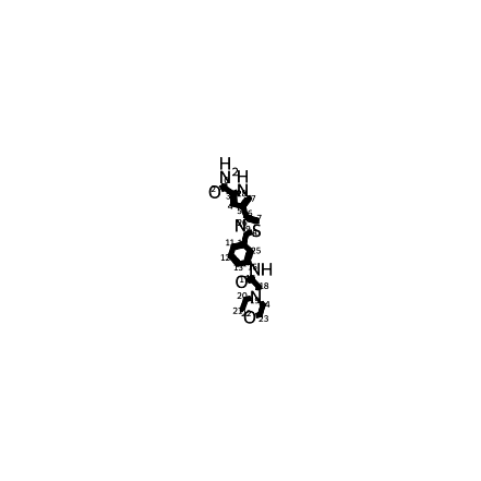 NC(=O)c1cc(-c2csc(-c3cccc(NC(=O)CN4CCOCC4)c3)n2)c[nH]1